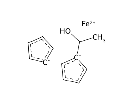 CC(O)[c-]1cccc1.[Fe+2].c1cc[cH-]c1